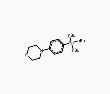 CCC[CH2][Sn]([CH2]CCC)([CH2]CCC)[c]1ccc(N2CCOCC2)cc1